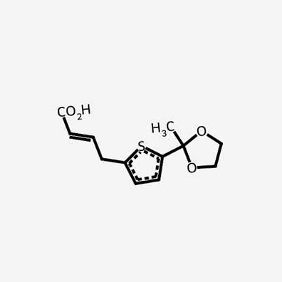 CC1(c2ccc(C/C=C/C(=O)O)s2)OCCO1